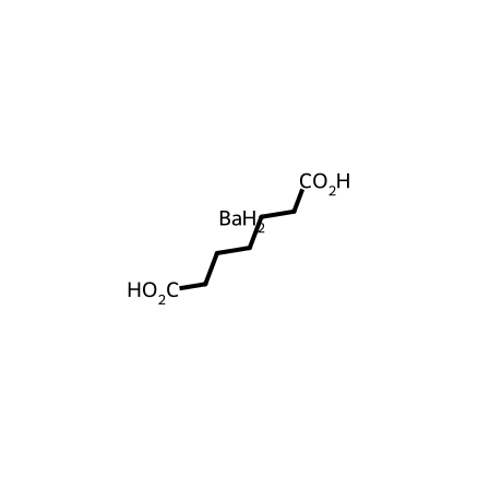 O=C(O)CCCCCC(=O)O.[BaH2]